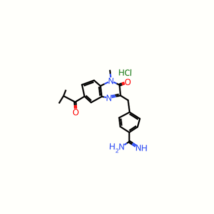 CC(C)C(=O)c1ccc2c(c1)nc(Cc1ccc(C(=N)N)cc1)c(=O)n2C.Cl